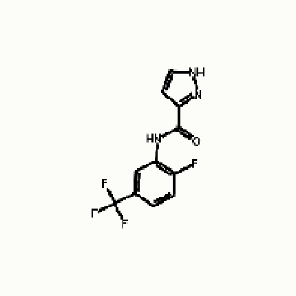 O=C(Nc1cc(C(F)(F)F)ccc1F)c1cc[nH]n1